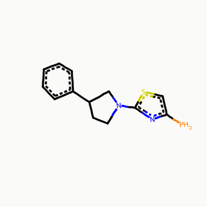 Pc1csc(N2CCC(c3ccccc3)C2)n1